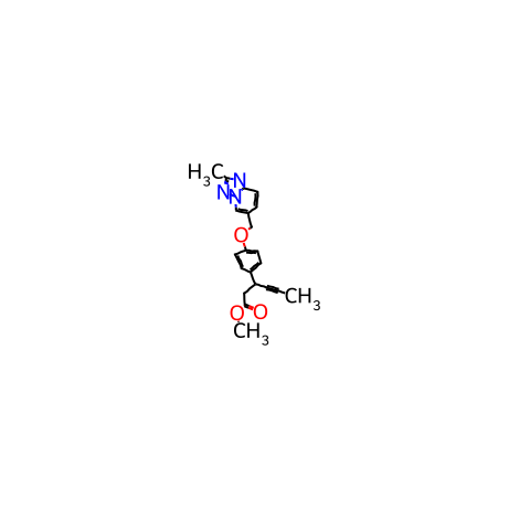 CC#CC(CC(=O)OC)c1ccc(OCc2ccc3nc(C)nn3c2)cc1